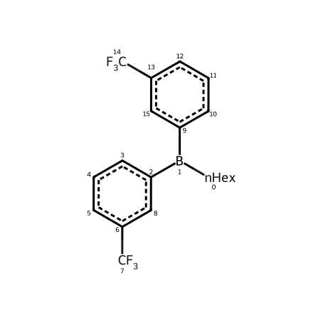 CCCCCCB(c1cccc(C(F)(F)F)c1)c1cccc(C(F)(F)F)c1